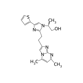 Cc1cc(C)n2cc(CCc3nc(-c4cccs4)cn3[C@@H](C)CO)nc2n1